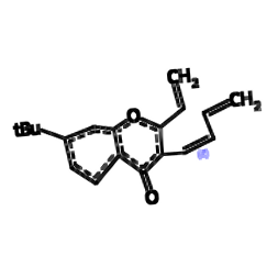 C=C/C=C\c1c(C=C)oc2cc(C(C)(C)C)ccc2c1=O